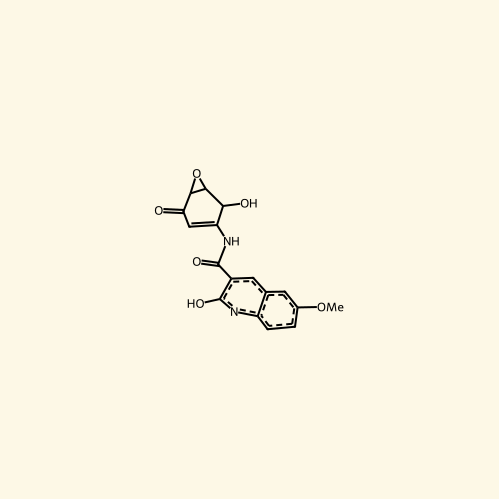 COc1ccc2nc(O)c(C(=O)NC3=CC(=O)C4OC4C3O)cc2c1